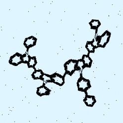 c1ccc(-c2ccc(-n3c4ccc(-c5ccc6c(c5)c5ccccc5n6-c5ccccc5)cc4c4ccc(-c5ccc6c(c5)c5cc(-c7ccc8c(c7)c7ccccc7n8-c7ccccc7)ccc5n6-c5ccccc5)cc43)cc2)cc1